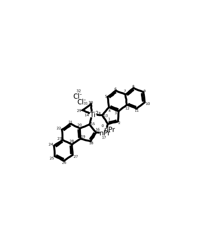 CCCC1=Cc2c(ccc3ccccc23)[CH]1[Ti+2]1([CH]2C(CCC)=Cc3c2ccc2ccccc32)[CH2][CH2]1.[Cl-].[Cl-]